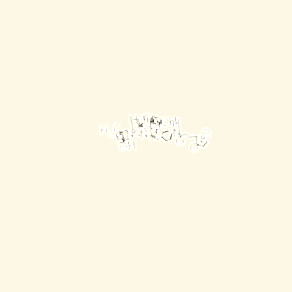 CC(=O)CN(CCN(CC(=O)O)C[C@@H](Cc1ccc(NC(=O)CCCN2C(=O)C=CC2=O)cc1)N(CC(C)=O)CC(=O)O)CC(=O)O